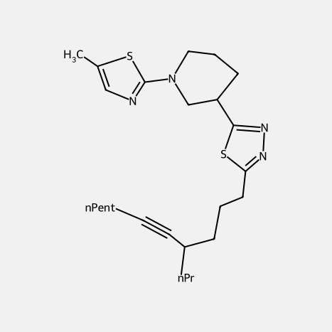 CCCCCC#CC(CCC)CCCc1nnc(C2CCCN(c3ncc(C)s3)C2)s1